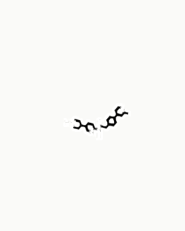 Cc1cc(-c2ccc(CC(=O)Nc3ccc(C4C=CNCC4)cn3)cc2)ccn1